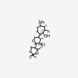 CCCC1CCC(C2CO[C@H](C3CCC(C)(C)OC3C)C(CC)C2)C(O)C(C)C1